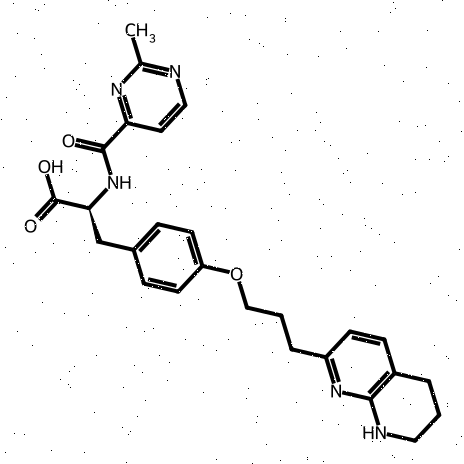 Cc1nccc(C(=O)N[C@@H](Cc2ccc(OCCCc3ccc4c(n3)NCCC4)cc2)C(=O)O)n1